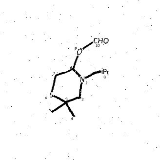 CC(C)N1CC(C)(C)SCC1OC=O